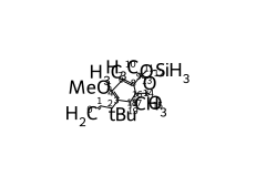 C=CCC1=C(OC)C(C)=C2C(C)(O[SiH3])OC(=O)C2(C)C1C(C)(C)C